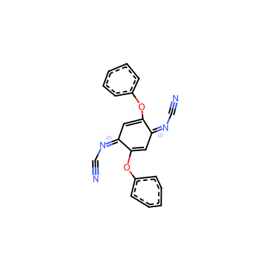 N#C/N=C1C=C(Oc2ccccc2)/C(=N\C#N)C=C/1Oc1ccccc1